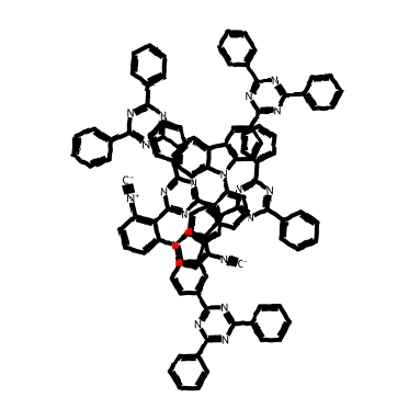 [C-]#[N+]c1ccccc1-c1cccc(-n2c3ccc(-c4nc(-c5ccccc5)nc(-c5ccccc5)n4)cc3c3cc(-c4nc(-c5ccccc5)nc(-c5ccccc5)n4)ccc32)c1-c1nc(-c2ccccc2)nc(-c2c([N+]#[C-])cccc2-n2c3ccc(-c4nc(-c5ccccc5)nc(-c5ccccc5)n4)cc3c3cc(-c4nc(-c5ccccc5)nc(-c5ccccc5)n4)ccc32)n1